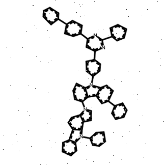 c1ccc(-c2ccc(-c3cc(-c4ccc(-n5c6ccc(-c7ccccc7)cc6c6c(-n7ccc8c7ccc7c9ccccc9n(-c9ccccc9)c78)cccc65)cc4)nc(-c4ccccc4)n3)cc2)cc1